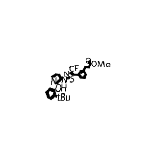 COC(=O)CCc1cccc(-c2sc(Nc3cccnc3Oc3ccccc3C(C)(C)C)nc2C(F)(F)F)c1